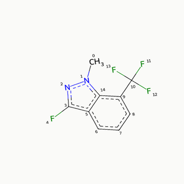 Cn1nc(F)c2cccc(C(F)(F)F)c21